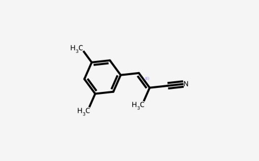 C/C(C#N)=C\c1cc(C)cc(C)c1